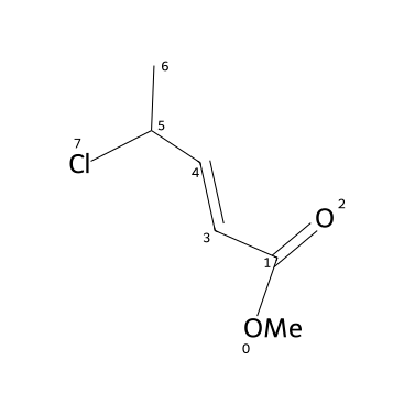 COC(=O)/C=C/C(C)Cl